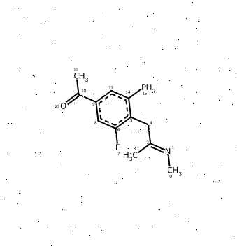 C/N=C(\C)Cc1c(F)cc(C(C)=O)cc1P